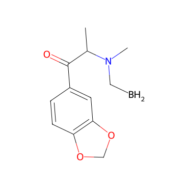 BCN(C)C(C)C(=O)c1ccc2c(c1)OCO2